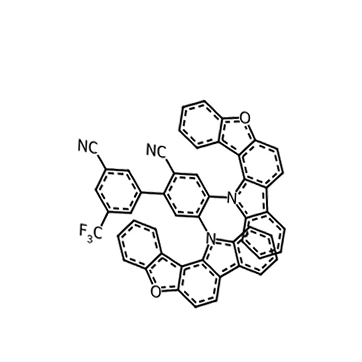 N#Cc1cc(-c2cc(-n3c4ccccc4c4ccc5oc6ccccc6c5c43)c(-n3c4ccccc4c4ccc5oc6ccccc6c5c43)cc2C#N)cc(C(F)(F)F)c1